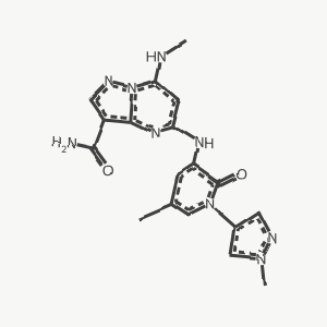 CNc1cc(Nc2cc(C)cn(-c3cnn(C)c3)c2=O)nc2c(C(N)=O)cnn12